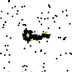 CC(Cc1ccc2sc3c(-c4ccc(C(C)(C)Cc5ccc(-c6ccc7sc8ccccc8c7c6)cc5C(C)(C)C)cc4)cccc3c2c1)C(C)c1cccc(-c2cccc3c2sc2ccccc23)c1